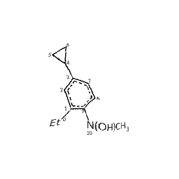 CCc1cc(C2CC2)ccc1N(C)O